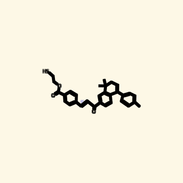 Cc1ccc(C2=CCC(C)(C)c3cc(C(=O)/C=C/c4ccc(C(=O)OCCS)cc4)ccc32)cc1